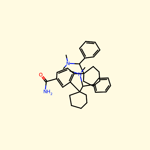 CN(C)C(c1ccccc1)C1(c2ccc(C(N)=O)cc2C2(C(c3ccccc3)N(C)C)CCCCC2)CCCCC1